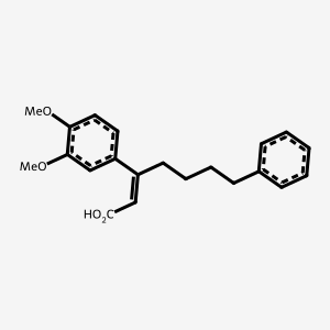 COc1ccc(/C(=C\C(=O)O)CCCCc2ccccc2)cc1OC